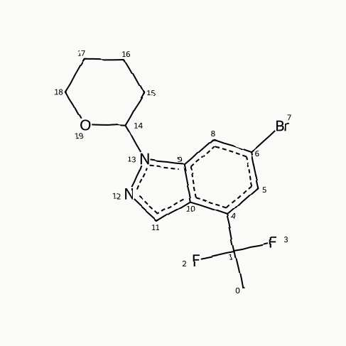 CC(F)(F)c1cc(Br)cc2c1cnn2C1CCCCO1